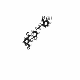 O=Cc1cccc(C(=O)N2CCC[C@@H](CCOc3cccc(O)c3C=O)C2)c1O